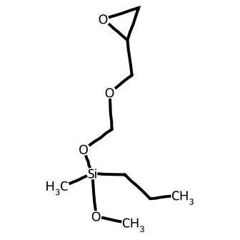 CCC[Si](C)(OC)OCOCC1CO1